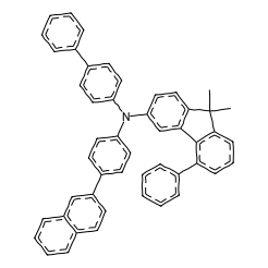 CC1(C)c2ccc(N(c3ccc(-c4ccccc4)cc3)c3ccc(-c4ccc5ccccc5c4)cc3)cc2-c2c(-c3ccccc3)cccc21